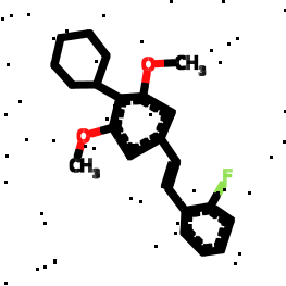 COc1cc(C=Cc2ccccc2F)cc(OC)c1C1CCCCC1